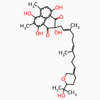 C/C(=C\CC/C(C)=C/C[C@]1(O)C(=O)c2c(O)cc(C)c3c(O)c(C)c(O)c(c23)C1=O)CC/C=C1/CCC(C(C)(C)O)OC1